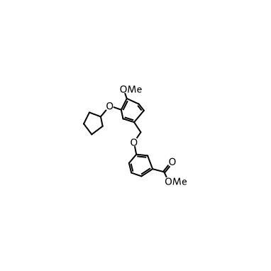 COC(=O)c1cccc(OCc2ccc(OC)c(OC3CCCC3)c2)c1